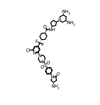 N[C@@H]1CC(=O)N(c2ccc(S(=O)(=O)N3CCN(c4cc(C(F)(F)[C@H]5CC[C@H](C(=O)N[C@H]6CCC(N7C[C@H](N)C[C@H](N)C7)C6)CC5)cc(Cl)n4)CC3)cc2)C1